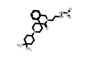 CC1(C)CCC(N2CCC3(CC2)C(=O)N(CCNN[SH](=O)=O)Cc2ccccc23)CC1